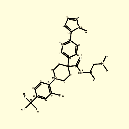 CC(CN(C)C)NC(=O)C1(c2ccc(-c3cccn3C)nc2)CCN(c2ccc(C(F)(F)F)cc2F)CC1